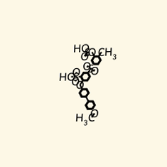 COc1ccc(-c2ccc(Oc3ccc(S(=O)(=O)c4ccc(C)c(OS(=O)O)c4)cc3S(=O)(=O)O)cc2)cc1